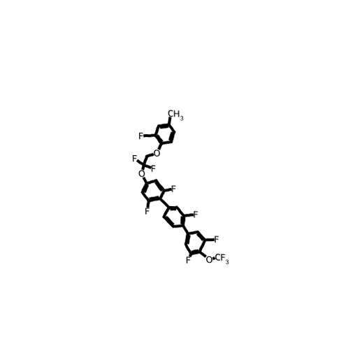 Cc1ccc(OCC(F)(F)Oc2cc(F)c(-c3ccc(-c4cc(F)c(OC(F)(F)F)c(F)c4)c(F)c3)c(F)c2)c(F)c1